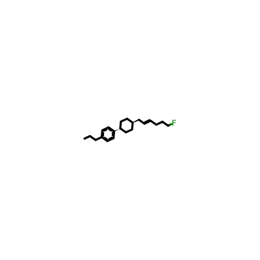 CCCc1ccc([C@H]2CC[C@H](C/C=C/CCCF)CC2)cc1